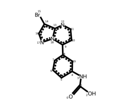 O=C(O)Nc1cccc(-c2ccnc3c(Br)cnn23)c1